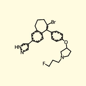 FCCCN1CCC(Oc2ccc(C3=C(Br)CCCc4cc(-c5cn[nH]c5)ccc43)cc2)C1